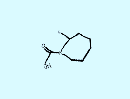 O=C(O)N1CCCCCC1F